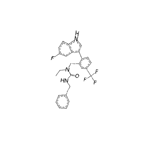 CCN(Cc1cc(C(F)(F)F)ccc1-c1c[nH]c2ccc(F)cc12)C(=O)NCc1ccccc1